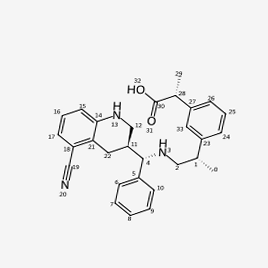 C[C@H](CN[C@H](c1ccccc1)[C@@H]1CNc2cccc(C#N)c2C1)c1cccc([C@@H](C)C(=O)O)c1